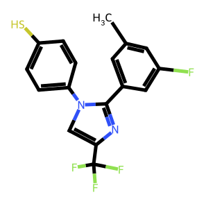 Cc1cc(F)cc(-c2nc(C(F)(F)F)cn2-c2ccc(S)cc2)c1